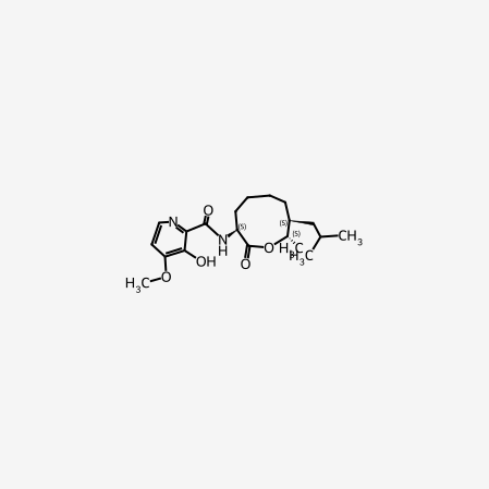 COc1ccnc(C(=O)N[C@H]2CCCC[C@@H](CC(C)C)[C@H](C)OC2=O)c1O